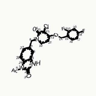 CC(=O)n1c(=O)[nH]c2cc(Cn3ccc(OCc4ccc(F)cc4F)c(Cl)c3=O)ccc21